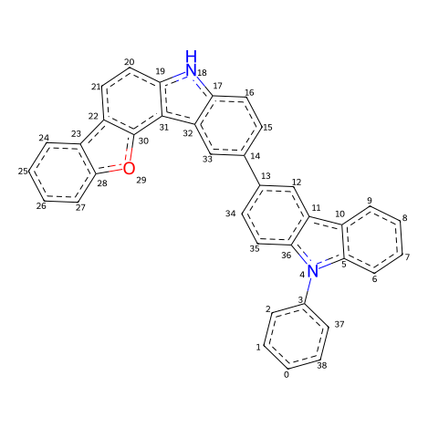 c1ccc(-n2c3ccccc3c3cc(-c4ccc5[nH]c6ccc7c8ccccc8oc7c6c5c4)ccc32)cc1